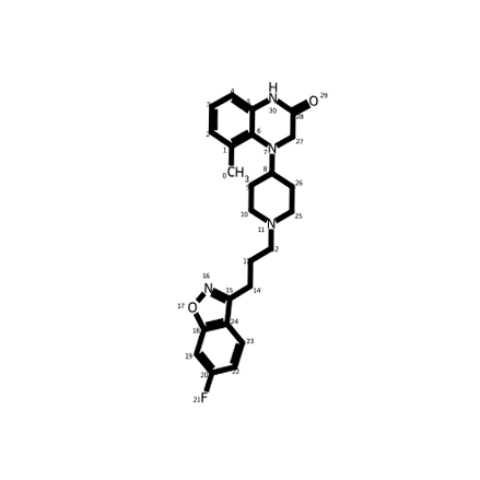 Cc1cccc2c1N(C1CCN(CCCc3noc4cc(F)ccc34)CC1)CC(=O)N2